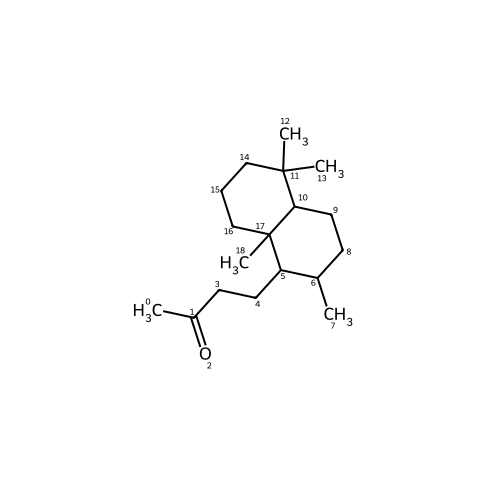 CC(=O)CCC1C(C)CCC2C(C)(C)CCCC12C